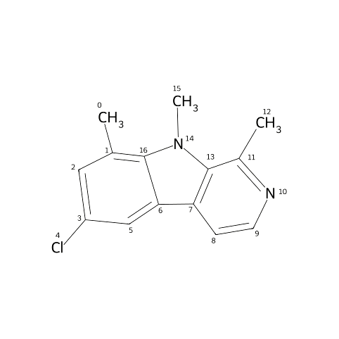 Cc1cc(Cl)cc2c3ccnc(C)c3n(C)c12